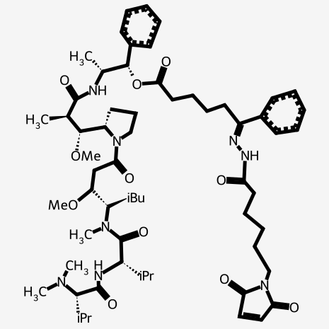 CC[C@H](C)[C@@H](C(CC(=O)N1CCC[C@H]1[C@H](OC)[C@@H](C)C(=O)N[C@H](C)[C@@H](OC(=O)CCCC/C(=N/NC(=O)CCCCCN1C(=O)C=CC1=O)c1ccccc1)c1ccccc1)OC)N(C)C(=O)[C@@H](NC(=O)[C@H](C(C)C)N(C)C)C(C)C